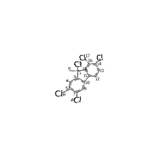 CC1(Cl)c2cc(Cl)c(Cl)cc2-c2ccc(Cl)c(Cl)c21